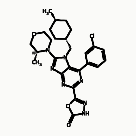 C[C@@H]1COCCN1c1nc2nc(-c3n[nH]c(=O)o3)nc(-c3cccc(Cl)c3)c2n1C[C@H]1CC[C@H](C)CC1